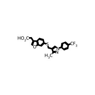 Cc1nn(-c2ccc(C(F)(F)F)cc2)cc1CSc1ccc2c(CC(=O)O)coc2c1